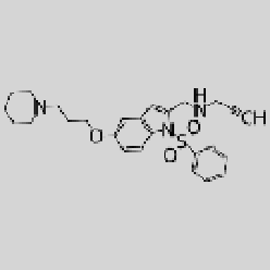 C#CCNCc1cc2cc(OCCCN3CCCCC3)ccc2n1S(=O)(=O)c1ccccc1